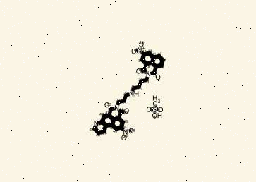 CS(=O)(=O)O.O=C1c2cccc3cc([N+](=O)[O-])cc(c23)C(=O)N1CCCCNCCCN1C(=O)c2cc([N+](=O)[O-])cc3c2c(cc2ncccc23)C1=O